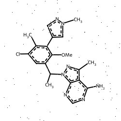 COc1c(C(C)n2nc(C)c3c(N)ncnc32)cc(Cl)c(C)c1-c1cnn(C)c1